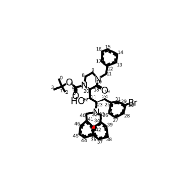 CC(C)(C)OC(=O)N1CCN(Cc2ccccc2)C(=O)[C@@H]1[C@@H](O)[C@@H](Cc1cccc(Br)c1)N(Cc1ccccc1)Cc1ccccc1